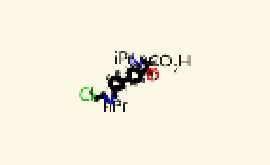 CCCN(CCCl)Cc1cccc(-c2ccc3c(=O)c(C(=O)O)cn(C(C)C)c3c2)c1